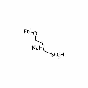 CCOCCCS(=O)(=O)O.[NaH]